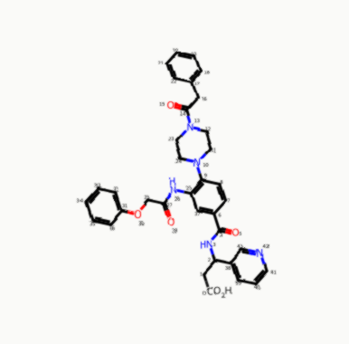 O=C(O)CC(NC(=O)c1ccc(N2CCN(C(=O)Cc3ccccc3)CC2)c(NC(=O)COc2ccccc2)c1)c1cccnc1